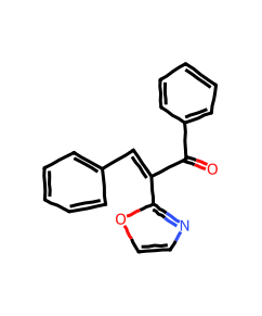 O=C(/C(=C/c1ccccc1)c1ncco1)c1ccccc1